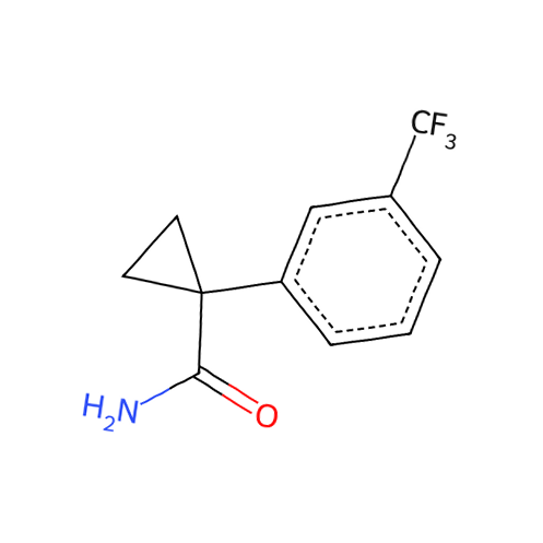 NC(=O)C1(c2cccc(C(F)(F)F)c2)CC1